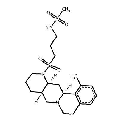 Cc1cccc2c1[C@@H]1C[C@H]3[C@H](CCCN3S(=O)(=O)CCCNS(C)(=O)=O)CN1CC2